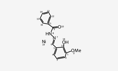 COc1cccc(C=NNC(=O)c2ccccc2)c1O.[Ni]